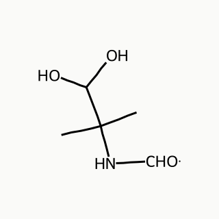 CC(C)(N[C]=O)C(O)O